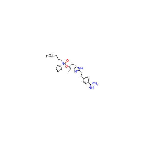 Cc1c(OC(=O)N(CCCC(=O)O)c2ccccc2)ccc2[nH]c(CCc3ccc(C(=N)N)cc3)nc12